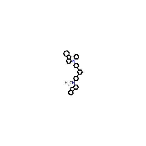 CN(c1ccc(-c2cccc(-c3ccc(N(c4ccccc4)c4cccc5c4CC4=C5C=CCC=C4)cc3)c2)cc1)c1cccc2c1Cc1ccccc1-2